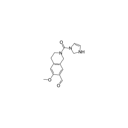 COc1cc2c(cc1C=O)CN(C(=O)N1C=CNC1)CC2